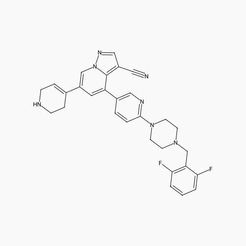 N#Cc1cnn2cc(C3=CCNCC3)cc(-c3ccc(N4CCN(Cc5c(F)cccc5F)CC4)nc3)c12